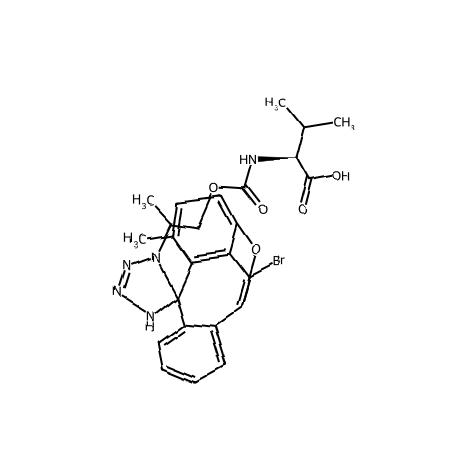 Cc1ccc2oc3c(Br)c2c1C1(NN=NN1C(C)COC(=O)N[C@H](C(=O)O)C(C)C)c1ccccc1-3